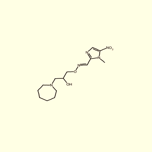 Cn1c([N+](=O)[O-])cnc1C=NOCC(O)CN1CCCCCC1